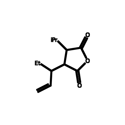 C=CC(CC)C1C(=O)OC(=O)C1C(C)C